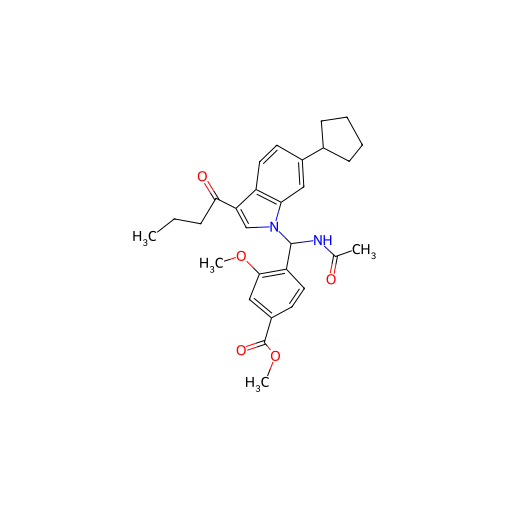 CCCC(=O)c1cn(C(NC(C)=O)c2ccc(C(=O)OC)cc2OC)c2cc(C3CCCC3)ccc12